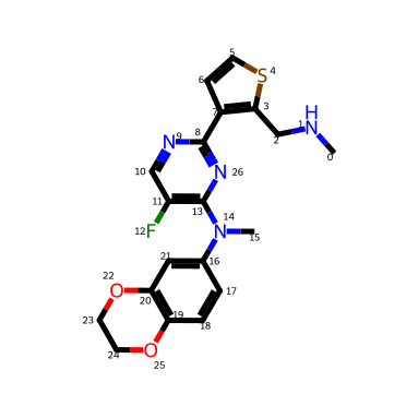 CNCc1sccc1-c1ncc(F)c(N(C)c2ccc3c(c2)OCCO3)n1